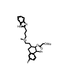 COCC(=O)OC1C(CC[As](C)CCCc2nc3ccccc3[nH]2)Cc2cc(F)ccc2C1C(C)C